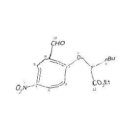 CCCCC(Oc1ccc([N+](=O)[O-])cc1C=O)C(=O)OCC